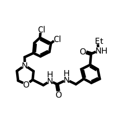 CCNC(=O)c1cccc(CNC(=O)NCC2CN(Cc3ccc(Cl)c(Cl)c3)CCO2)c1